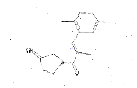 C/C(=C\c1cc(C)ccc1C)C(=O)N1CCC(=N)C1